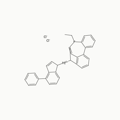 CCP1C2=Cc3c(cccc3[CH]2[Hf+2][CH]2C=Cc3c(-c4ccccc4)cccc32)-c2ccccc21.[Cl-].[Cl-]